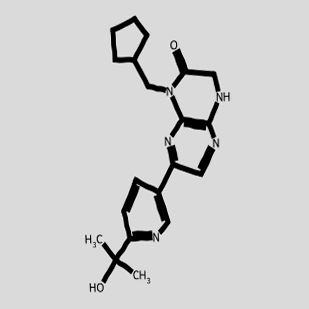 CC(C)(O)c1ccc(-c2cnc3c(n2)N(CC2CCCC2)C(=O)CN3)cn1